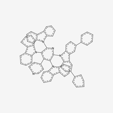 c1ccc(-c2ccc3c(c2)c2cc(-c4ccccc4)ccc2n3-c2nc(-n3c4ccccc4c4ccccc43)c(-n3c4ccccc4c4ccccc43)c(-c3ccncc3)c2-n2c3ccccc3c3ccccc32)cc1